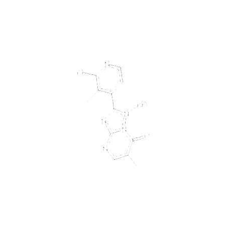 CCCn1c(-c2ccnc(Cl)c2C)nc2ncc(C)c(=O)n21